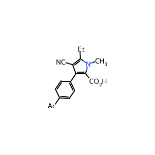 CCc1c(C#N)c(-c2ccc(C(C)=O)cc2)c(C(=O)O)n1C